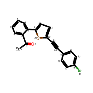 CCC(=O)c1ccccc1-c1ccc(C#Cc2ccc(Br)cc2)s1